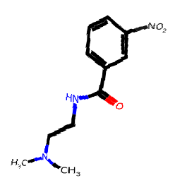 CN(C)CCNC(=O)c1cccc([N+](=O)[O-])c1